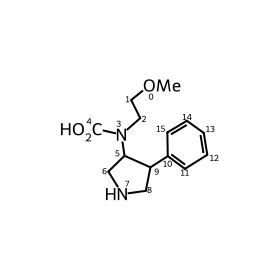 COCCN(C(=O)O)C1CNCC1c1ccccc1